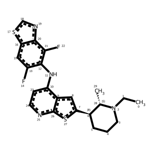 CCN1CCC[C@@H](c2cc3c(Nc4c(F)cc5scnc5c4F)ccnc3s2)[C@@H]1C